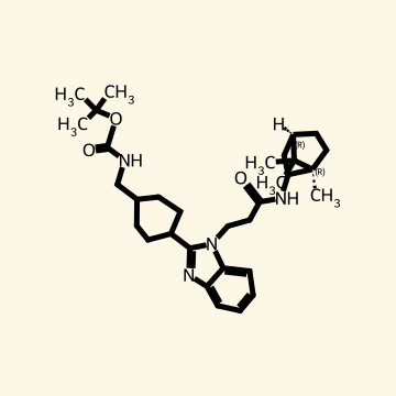 CC(C)(C)OC(=O)NCC1CCC(c2nc3ccccc3n2CCC(=O)NC2C[C@H]3CC[C@]2(C)C3(C)C)CC1